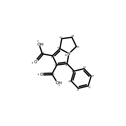 O=C(O)c1c(C(=O)O)c(-c2ccccc2)n2c1CCC2